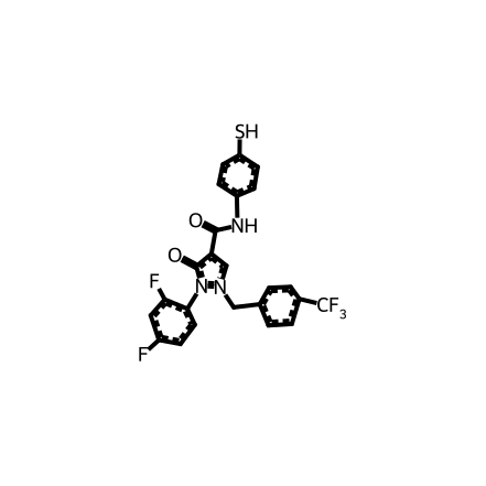 O=C(Nc1ccc(S)cc1)c1cn(Cc2ccc(C(F)(F)F)cc2)n(-c2ccc(F)cc2F)c1=O